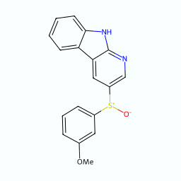 COc1cccc([S+]([O-])c2cnc3[nH]c4ccccc4c3c2)c1